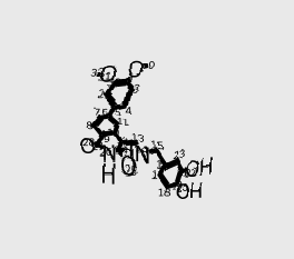 COc1ccc(-c2ccc3c(c2)C(=CNCc2ccc(O)c(O)c2)C(=O)NC3=O)cc1OC